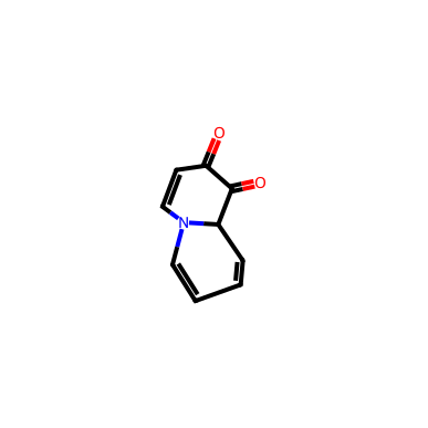 O=C1C=CN2C=CC=CC2C1=O